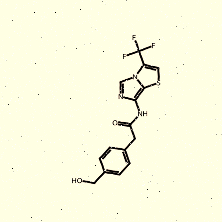 O=C(Cc1ccc(CO)cc1)Nc1ncn2c(C(F)(F)F)csc12